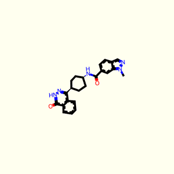 Cn1ncc2ccc(C(=O)N[C@H]3CC[C@H](c4n[nH]c(=O)c5ccccc54)CC3)cc21